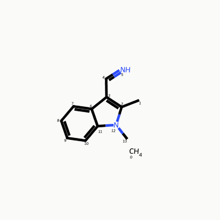 C.Cc1c(C=N)c2ccccc2n1C